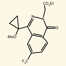 CCOC(=O)Cn1nc(C2(OC)CC2)c2cc(C(F)(F)F)ccc2c1=O